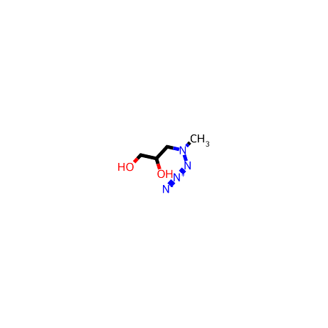 CN(CC(O)CO)N=[N+]=[N-]